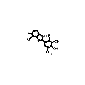 Cc1cc(-c2nc3c(Cl)c(Cl)ccc3[nH]2)c(F)c(O)c1O